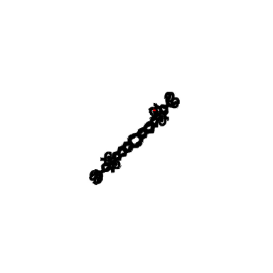 COCC(COC)c1cc(C(C)C)c(N2C(=O)c3cc4c(cc3C2=O)=CC2C=C3/C=C\C5=CC6C=c7cc8c(cc7=CC6C=C5/C=C\C3=CC2C=4)C(=O)N(c2c(C(C)C)cc(C(COC)COC)cc2C(C)C)C8=O)c(C(C)C)c1